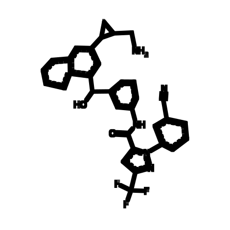 N#Cc1cccc(-n2nc(C(F)(F)F)cc2C(=O)Nc2cccc(C(O)c3cc(C4CC4CN)cc4ccccc34)c2)c1